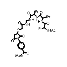 CNC(=O)c1ccc(N2C(=O)CC(SCC(=O)NCNC(=O)C(NC(=O)C(NC(=O)C(NC(C)=O)C(C)C)C(C)C)C(C)C)C2=O)cc1